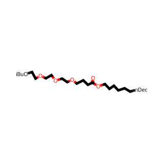 CCCCCCCCCCCCCCCCOC(=O)CCCOCCOCCOCCOCC(C)C